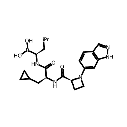 CC(C)C[C@@H](NC(=O)[C@H](CC1CC1)NC(=O)[C@@H]1CCN1c1ccc2cn[nH]c2c1)B(O)O